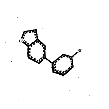 Brc1cccc(-c2ccc3occc3c2)c1